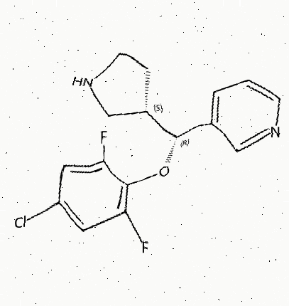 Fc1cc(Cl)cc(F)c1O[C@@H](c1cccnc1)[C@H]1CCNC1